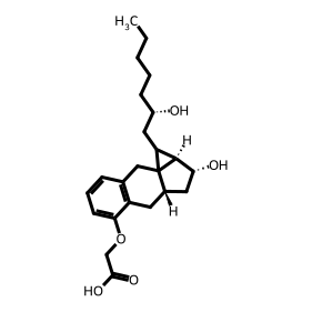 CCCCC[C@H](O)CC1[C@H]2[C@H](O)C[C@@H]3Cc4c(cccc4OCC(=O)O)CC132